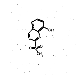 CS(=O)(=O)c1ncc2cccc(O)c2n1